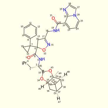 CC(C)C[C@H](NC(=O)C1(C2(c3ccccc3)CC2)CC(CNC(=O)c2cccn3ccnc23)=NO1)B1O[C@@H]2C[C@@H]3C[C@@H](C3(C)C)[C@]2(C)O1